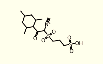 C#[N+]C(C(=O)C1C(C)CC(C)CC1C)S(=O)(=O)CCCS(=O)(=O)O